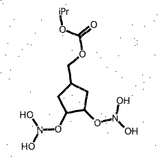 CC(C)OC(=O)OCC1CC(ON(O)O)C(ON(O)O)C1